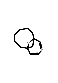 C1=CC23CCCCCCC(C=N1)(C2)N3